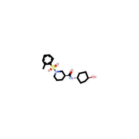 Cc1ccccc1S(=O)(=O)N1CCC[C@H](C(=O)N[C@H]2CC[C@H](O)CC2)C1